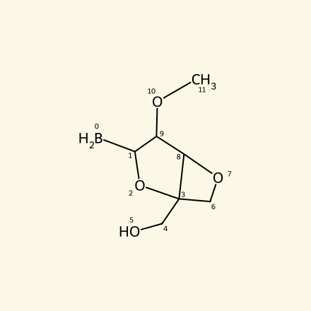 BC1OC2(CO)COC2C1OC